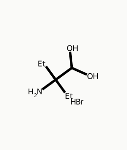 Br.CCC(N)(CC)C(O)O